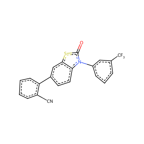 N#Cc1ccccc1-c1ccc2c(c1)sc(=O)n2-c1cccc(C(F)(F)F)c1